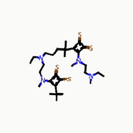 CCN(C)CCN(C)c1c(C(C)(C)CCCN(CC)CCN(C)c2c(C(C)(C)C)c(=S)c2=S)c(=S)c1=S